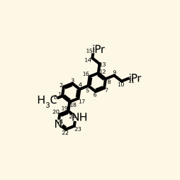 Cc1ccc(-c2ccc(CCC(C)C)c(CCC(C)C)c2)cc1C1=CN=CCN1